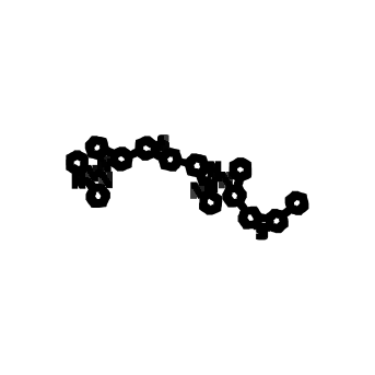 c1ccc(-c2ccc3sc4ccc(-c5ccc6c(c5)c5ccccc5n6-c5nc6ccc(-c7ccc8c(c7)sc7ccc(-c9ccc%10c(c9)c9ccccc9n%10-c9nc%10ccccc%10c%10nc%11ccccc%11n9%10)cc78)cc6c6nc7ccccc7n56)cc4c3c2)cc1